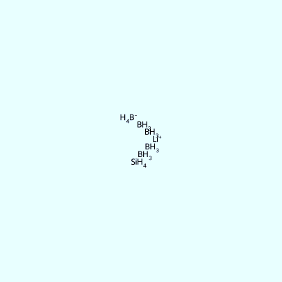 B.B.B.B.[BH4-].[Li+].[SiH4]